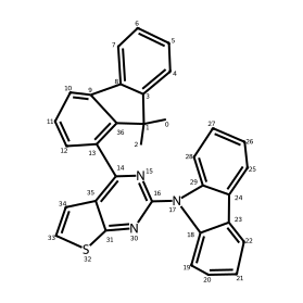 CC1(C)c2ccccc2-c2cccc(-c3nc(-n4c5ccccc5c5ccccc54)nc4sccc34)c21